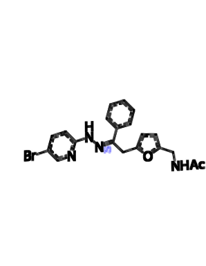 CC(=O)NCc1ccc(C/C(=N/Nc2ccc(Br)cn2)c2ccccc2)o1